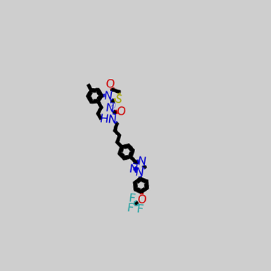 CCCc1ccc(C)cc1N1C(=O)CS/C1=N\C(=O)NCCCCc1ccc(-c2ncn(-c3ccc(OC(F)(F)F)cc3)n2)cc1